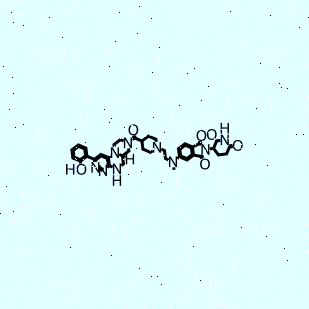 CN(CCN1CCC(C(=O)N2CCN3c4cc(-c5ccccc5O)nnc4NC[C@H]3C2)CC1)c1ccc2c(c1)C(=O)N(C1CCC(=O)NC1=O)C2=O